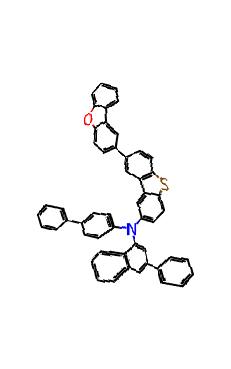 c1ccc(-c2ccc(N(c3ccc4sc5ccc(-c6ccc7oc8ccccc8c7c6)cc5c4c3)c3cc(-c4ccccc4)cc4ccccc34)cc2)cc1